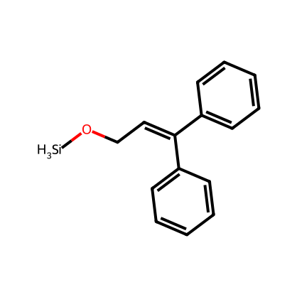 [SiH3]OCC=C(c1ccccc1)c1ccccc1